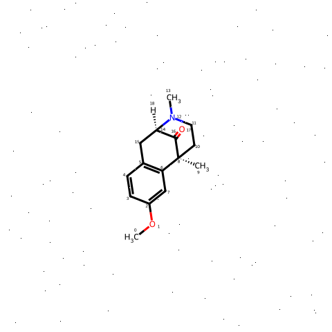 COc1ccc2c(c1)[C@]1(C)CCN(C)[C@H](C2)C1=O